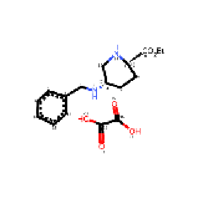 CCOC(=O)[C@H]1CC[C@H](NCc2ccccc2)CN1.O=C(O)C(=O)O